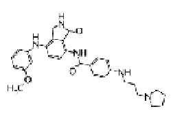 COc1cccc(Nc2ccc(NC(=O)c3ccc(NCCCN4CCCC4)cc3)c3c2CNC3=O)c1